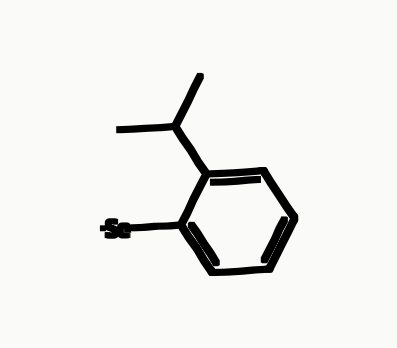 CC(C)c1ccccc1[Se]